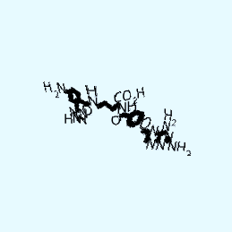 Nc1ccc(C(=O)NCCC[C@H](NC(=O)c2ccc(OCc3cnc4nc(N)nc(N)c4n3)cc2)C(=O)O)c(-c2nn[nH]n2)c1